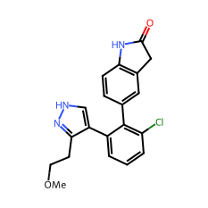 COCCc1n[nH]cc1-c1cccc(Cl)c1-c1ccc2c(c1)CC(=O)N2